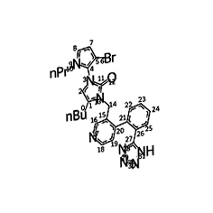 CCCCc1cn(-c2c(Br)ccn2CCC)c(=O)n1Cc1cnccc1-c1ccccc1-c1nnn[nH]1